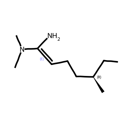 CC[C@@H](C)CC/C=C(\N)N(C)C